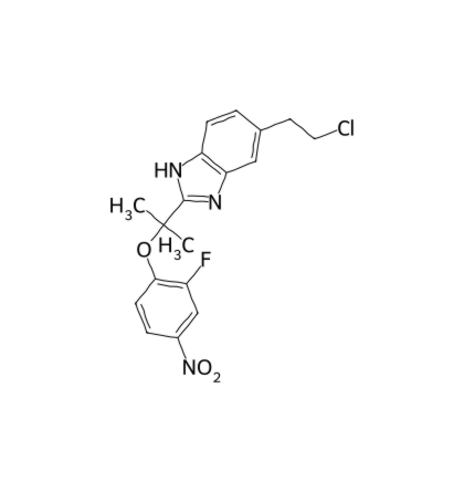 CC(C)(Oc1ccc([N+](=O)[O-])cc1F)c1nc2cc(CCCl)ccc2[nH]1